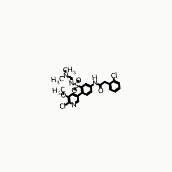 COc1cc(-c2ccc(NC(=O)Cc3ccccc3Cl)cc2S(=O)(=O)/N=C/N(C)C)cnc1Cl